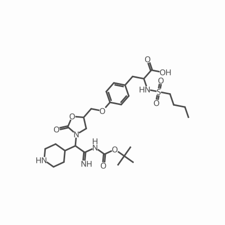 CCCCS(=O)(=O)NC(Cc1ccc(OCC2CN(C(C(=N)NC(=O)OC(C)(C)C)C3CCNCC3)C(=O)O2)cc1)C(=O)O